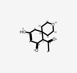 CC(=O)C1C(=O)C=C(O)CC12CCOCC2